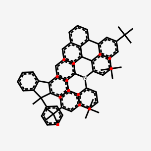 CC(C)(C)c1cc(-c2ccccc2N(c2ccccc2-c2ccc3c(c2)C(C)(c2ccccc2)c2ccccc2-3)c2ccccc2-c2cccc3cccc(-c4cc(C(C)(C)C)cc(C(C)(C)C)c4)c23)cc(C(C)(C)C)c1